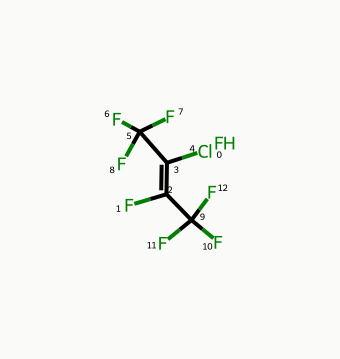 F.FC(=C(Cl)C(F)(F)F)C(F)(F)F